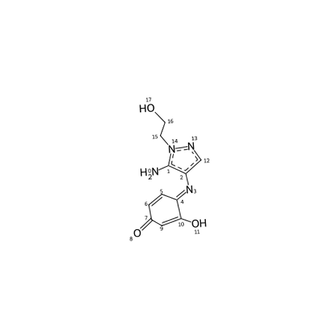 Nc1c(/N=C2\C=CC(=O)C=C2O)cnn1CCO